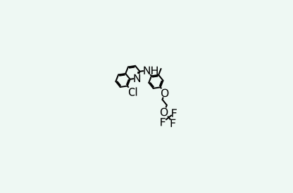 Cc1cc(OCCOC(F)(F)F)ccc1Nc1ccc2cccc(Cl)c2n1